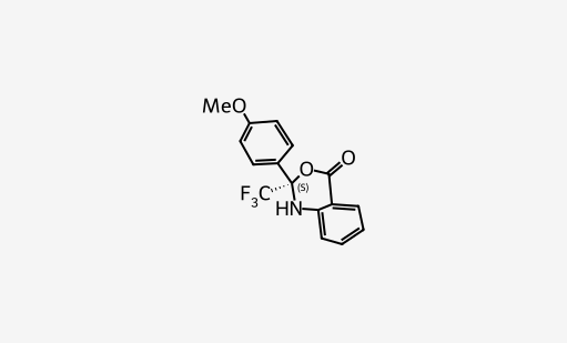 COc1ccc([C@]2(C(F)(F)F)Nc3ccccc3C(=O)O2)cc1